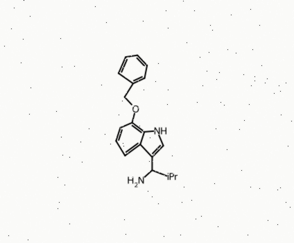 CC(C)C(N)c1c[nH]c2c(OCc3ccccc3)cccc12